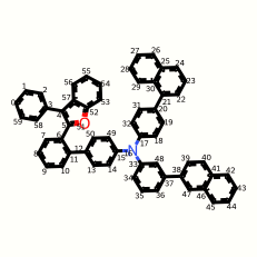 c1ccc(-c2c(-c3ccccc3-c3ccc(N(c4ccc(-c5cccc6ccccc56)cc4)c4cccc(-c5ccc6ccccc6c5)c4)cc3)oc3ccccc23)cc1